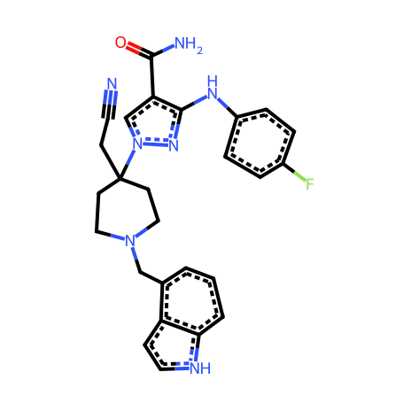 N#CCC1(n2cc(C(N)=O)c(Nc3ccc(F)cc3)n2)CCN(Cc2cccc3[nH]ccc23)CC1